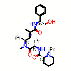 C/C(=C\[C@H](C(C)C)N(C)C(=O)[C@@H](NC(=O)[C@H]1CCCCN1C(C)C)C(C)C)C(=O)N[C@@H](CO)c1ccccc1